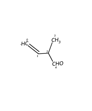 [CH]=CC(C)C=O